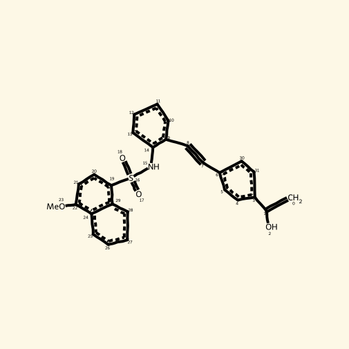 C=C(O)c1ccc(C#Cc2ccccc2NS(=O)(=O)c2ccc(OC)c3ccccc23)cc1